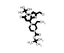 CCC1CN(C(=O)OC(C)(C)C)CCN1c1cc(=O)n(C(O)(O)O)n2cc(CCl)nc12